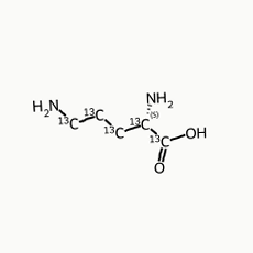 N[13CH2][13CH2][13CH2][13C@H](N)[13C](=O)O